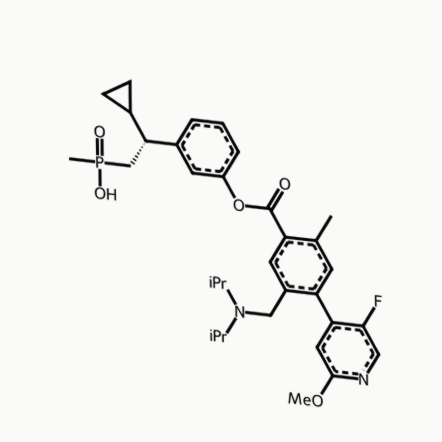 COc1cc(-c2cc(C)c(C(=O)Oc3cccc([C@H](CP(C)(=O)O)C4CC4)c3)cc2CN(C(C)C)C(C)C)c(F)cn1